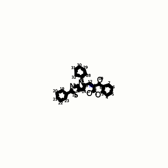 O=C1Oc2ccccc2C(=O)/C1=C/c1cc2sc(-c3ccccc3)nc2n1-c1ccccc1